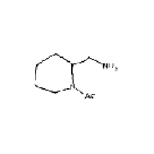 CC(=O)N1CCCCC1CN